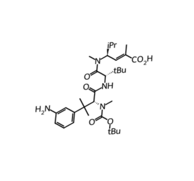 CC(=C[C@H](C(C)C)N(C)C(=O)[C@@H](NC(=O)[C@H](N(C)C(=O)OC(C)(C)C)C(C)(C)c1cccc(N)c1)C(C)(C)C)C(=O)O